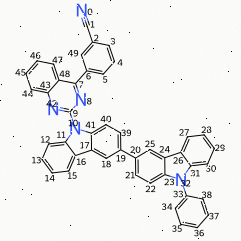 N#Cc1cccc(-c2nc(-n3c4ccccc4c4cc(-c5ccc6c(c5)c5ccccc5n6-c5ccccc5)ccc43)nc3ccccc23)c1